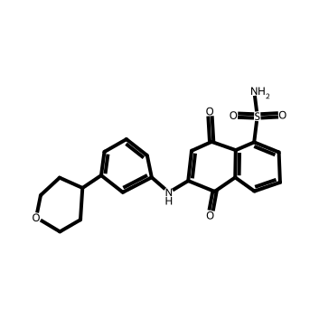 NS(=O)(=O)c1cccc2c1C(=O)C=C(Nc1cccc(C3CCOCC3)c1)C2=O